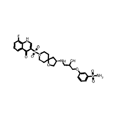 NS(=O)(=O)c1cccc(OCC(O)CN[C@H]2COC3(CCN(S(=O)(=O)c4c[nH]c5c(F)cccc5c4=O)CC3)C2)c1